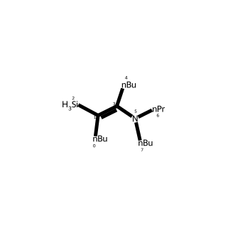 CCCCC([SiH3])=C(CCCC)N(CCC)CCCC